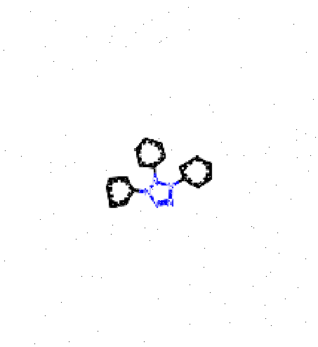 c1ccc(N2N=NN(c3ccccc3)N2c2ccccc2)cc1